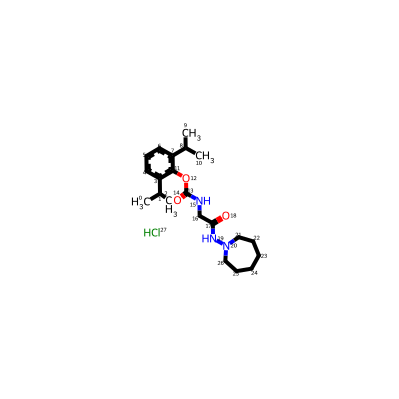 CC(C)c1cccc(C(C)C)c1OC(=O)NCC(=O)NN1CCCCCC1.Cl